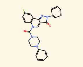 O=C(N1CCN(c2ccccc2)CC1)n1cc2c(=O)n(-c3ccccc3)nc-2c2cc(F)ccc21